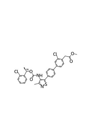 COC(=O)Cc1ccc(-c2ccc(-c3snc(C)c3NC(=O)O[C@H](C)c3ccccc3Cl)cc2)cc1Cl